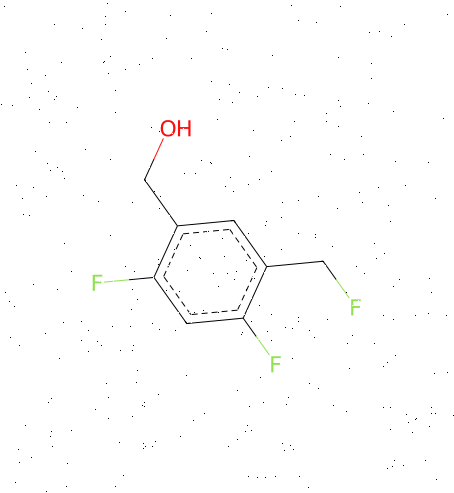 OCc1cc(CF)c(F)cc1F